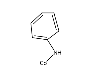 [Co][NH]c1ccccc1